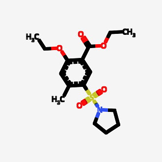 CCOC(=O)c1cc(S(=O)(=O)N2CCCC2)c(C)cc1OCC